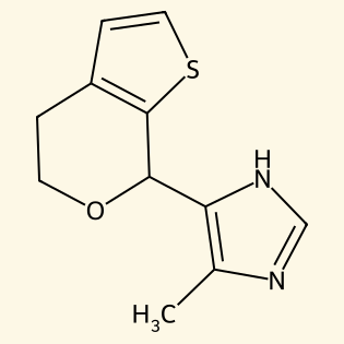 Cc1nc[nH]c1C1OCCc2ccsc21